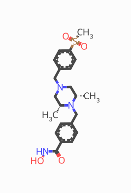 C[C@@H]1CN(Cc2ccc(S(C)(=O)=O)cc2)C[C@H](C)N1Cc1ccc(C(=O)NO)cc1